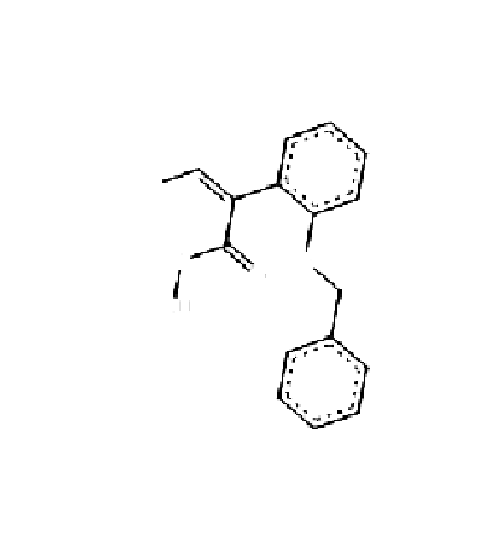 CC=C(C(=O)OC)c1ccccc1OCc1ccccc1